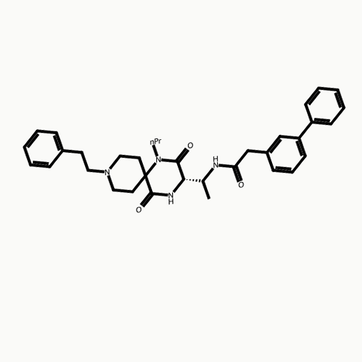 CCCN1C(=O)[C@H](C(C)NC(=O)Cc2cccc(-c3ccccc3)c2)NC(=O)C12CCN(CCc1ccccc1)CC2